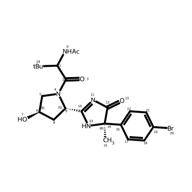 CC(=O)NC(C(=O)N1C[C@H](O)C[C@H]1C1=NC(=O)[C@@](C)(c2ccc(Br)cc2)N1)C(C)(C)C